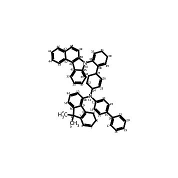 CC1(C)C2=C(CCC=C2)c2c(N(c3ccc(-c4ccccc4)cc3)C3C=CC(C4=CCCC=C4n4c5ccccc5c5c6ccccc6ccc54)CC3)cccc21